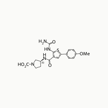 COc1ccc(-c2cc(C(=O)N[C@H]3CCN(C(=O)O)C3)c(NC(N)=O)s2)cc1